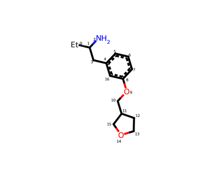 CCC(N)Cc1cccc(OCC2CCOC2)c1